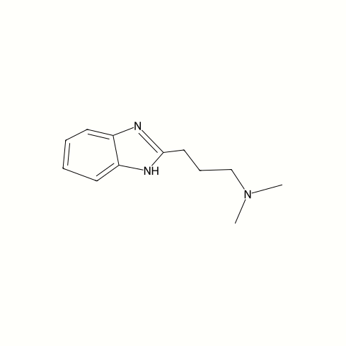 CN(C)CCCc1nc2ccccc2[nH]1